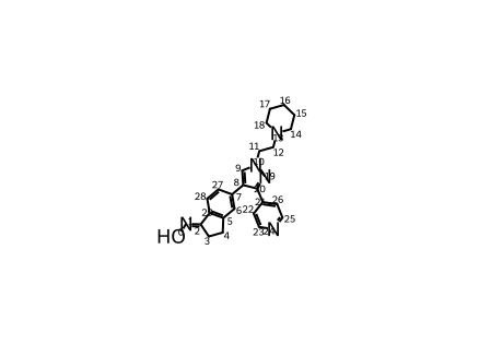 O/N=C1\CCc2cc(-c3cn(CCN4CCCCC4)nc3-c3ccncc3)ccc21